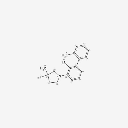 CCc1c(-c2ccccc2C)ccnc1N1CCC(F)(P)C1